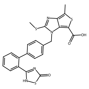 CSc1nc2c(C)sc(C(=O)O)c2n1Cc1ccc(-c2ccccc2-c2nc(=O)s[nH]2)cc1